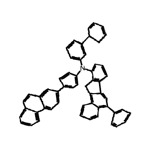 C1=CCC(c2cccc(N(c3ccc(-c4ccc5c(ccc6ccccc65)c4)cc3)c3cccc4c3Cc3c-4cc(-c4ccccc4)c4ccccc34)c2)C=C1